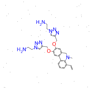 C=Cc1cccc2c1N(C)Cc1cc(OCc3cn(CCN)nn3)c(OCc3cn(CCN)nn3)cc1-2